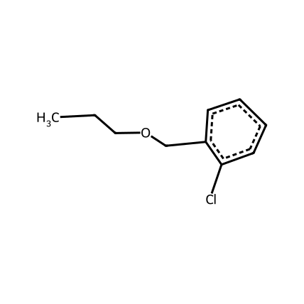 CCCOCc1ccccc1Cl